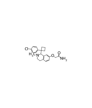 CN1CCc2ccc(OCC(N)=O)cc2C1C1(c2ccc(Cl)cc2)CCC1